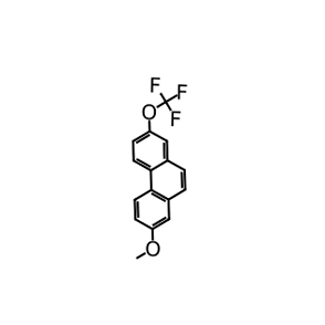 COc1ccc2c(ccc3cc(OC(F)(F)F)ccc32)c1